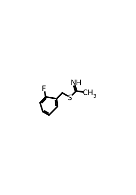 CC(=N)SCc1ccccc1F